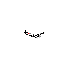 C=C(/C=C\C=C(/C)C(=C)N1CCC(C)(C(=C)CC)CC1)c1cnc2[nH]c(C(C)/C=C\C=C/CC)cc2c1